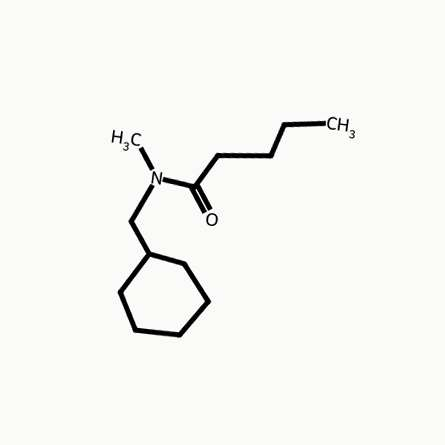 CCCCC(=O)N(C)CC1CCCCC1